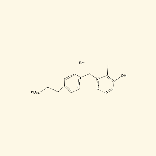 CCCCCCCCCCCCc1ccc(C[n+]2cccc(O)c2I)cc1.[Br-]